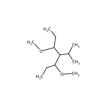 CCC(OC)C(C(C)C)C(CC)OC